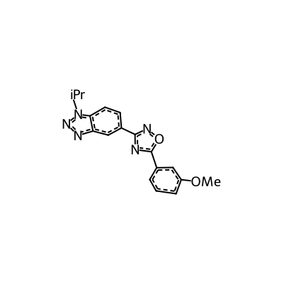 COc1cccc(-c2nc(-c3ccc4c(c3)nnn4C(C)C)no2)c1